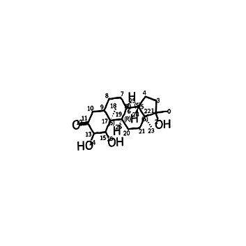 CC1(O)CC[C@H]2[C@@H]3CCC4CC(=O)C(O)C(O)[C@]4(C)[C@@H]3CC[C@@]21C